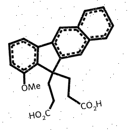 COc1cccc2c1C(CCC(=O)O)(CCC(=O)O)c1cc3ccccc3cc1-2